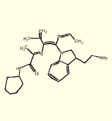 C=C(C)C(/N=C(\C)C(=O)NC1CCCCC1)=C(\N=C/C)N1CC(CCNC)c2ccccc21